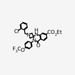 CCOC(=O)c1ccc2c(c1)NC1(CN(Cc3ccccc3Cl)C1)N(c1ccc(OC(F)(F)F)cc1)C2=O